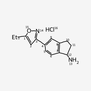 CCc1cc(-c2ccc3c(c2)CCC3N)no1.Cl